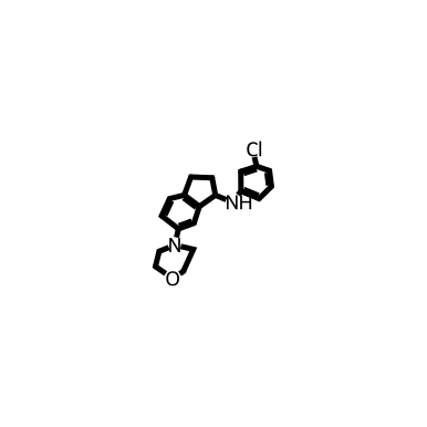 Clc1cccc(NC2CCc3ccc(N4CCOCC4)cc32)c1